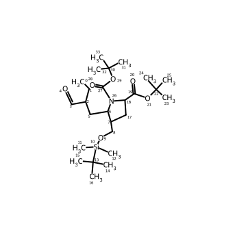 CCC(C=O)CC1C(CO[Si](C)(C)C(C)(C)C)CC(C(=O)OC(C)(C)C)N1C(=O)OC(C)(C)C